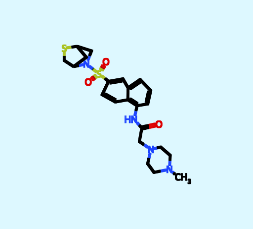 CN1CCN(CC(=O)Nc2cccc3cc(S(=O)(=O)N4CC5CC4CS5)ccc23)CC1